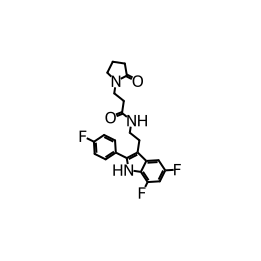 O=C(CCN1CCCC1=O)NCCc1c(-c2ccc(F)cc2)[nH]c2c(F)cc(F)cc12